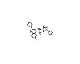 O=C(Nc1nnc(-c2cccs2)o1)c1cc(-c2ccccc2)nc2ccc(Cl)cc12